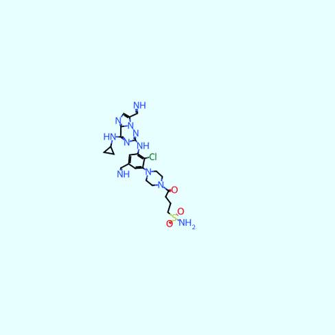 N=Cc1cc(Nc2nc(NC3CC3)c3ncc(C=N)n3n2)c(Cl)c(N2CCN(C(=O)CCCS(N)(=O)=O)CC2)c1